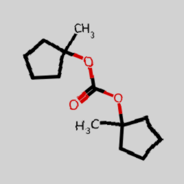 CC1(OC(=O)OC2(C)CCCC2)CCCC1